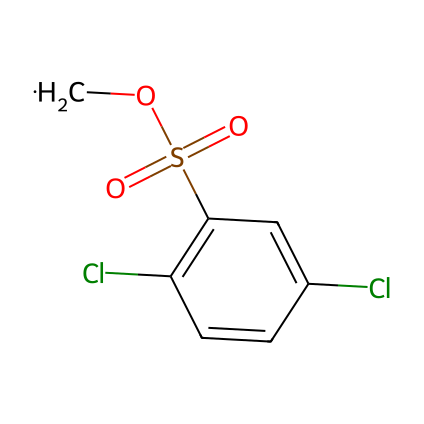 [CH2]OS(=O)(=O)c1cc(Cl)ccc1Cl